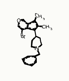 Cc1c2cocc(Br)c-2c(C2CCN(Cc3ccccc3)CC2)c1C